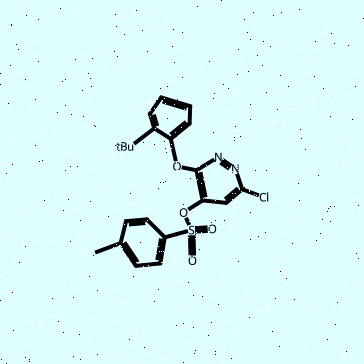 Cc1ccc(S(=O)(=O)Oc2cc(Cl)nnc2Oc2ccccc2C(C)(C)C)cc1